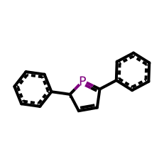 C1=CC(c2ccccc2)=P[C]1c1ccccc1